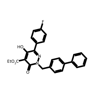 CCOC(=O)c1c(O)c(-c2ccc(F)cc2)nn(Cc2ccc(-c3ccccc3)cc2)c1=O